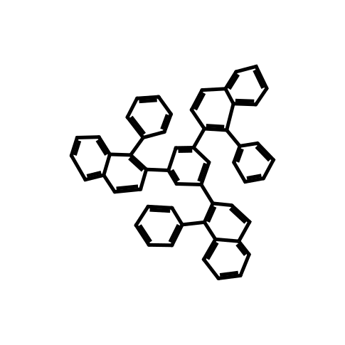 c1ccc(-c2c(-c3cc(-c4ccc5ccccc5c4-c4ccccc4)cc(-c4ccc5ccccc5c4-c4ccccc4)c3)ccc3ccccc23)cc1